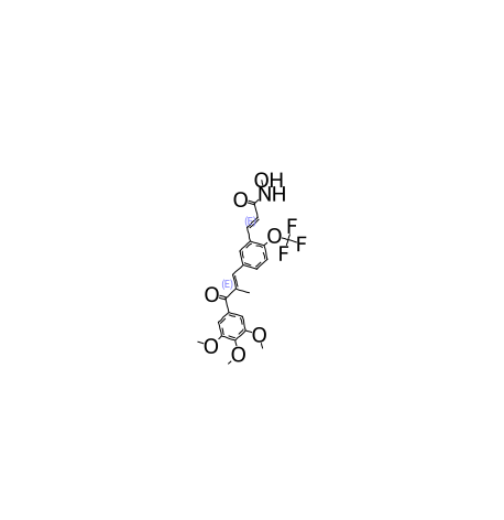 COc1cc(C(=O)/C(C)=C/c2ccc(OC(F)(F)F)c(/C=C/C(=O)NO)c2)cc(OC)c1OC